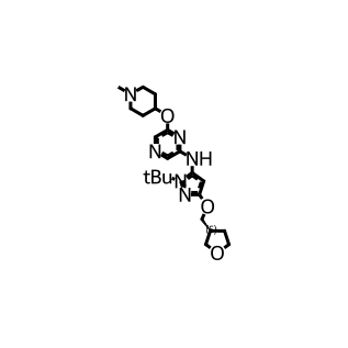 CN1CCC(Oc2cncc(Nc3cc(OC[C@H]4CCOC4)nn3C(C)(C)C)n2)CC1